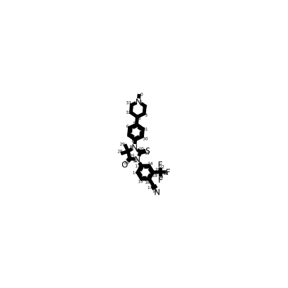 CN1CCC(c2ccc(N3C(=S)N(c4ccc(C#N)c(C(F)(F)F)c4)C(=O)C3(C)C)cc2)CC1